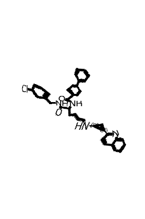 O=C(NC(CCCCN[C@@H]1C[C@H]1c1ccc2ccccc2n1)C(=O)NCc1cccc(Cl)c1)c1ccc(-c2ccccc2)cc1